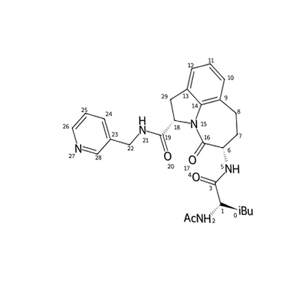 CC[C@H](C)[C@H](NC(C)=O)C(=O)N[C@H]1CCc2cccc3c2N(C1=O)[C@H](C(=O)NCc1cccnc1)C3